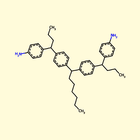 CCCCCCC(c1ccc(C(CCC)c2ccc(N)cc2)cc1)c1ccc(C(CCC)c2ccc(N)cc2)cc1